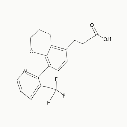 O=C(O)CCc1ccc(-c2ncccc2C(F)(F)F)c2c1CCCO2